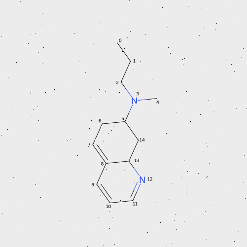 CCCN(C)C1CC=C2C=CC=NC2C1